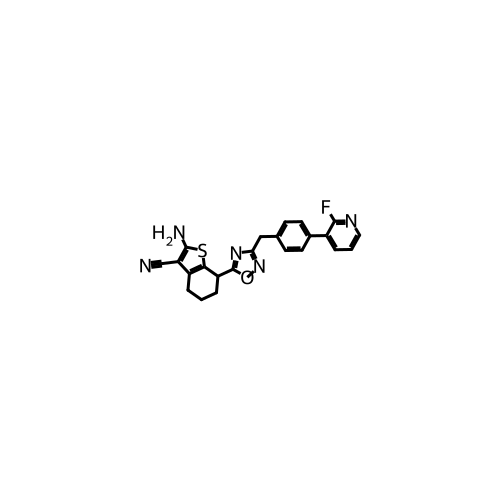 N#Cc1c(N)sc2c1CCCC2c1nc(Cc2ccc(-c3cccnc3F)cc2)no1